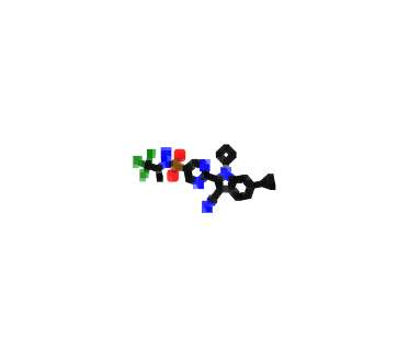 C[C@H](NS(=O)(=O)c1cnc(-c2c(C#N)c3ccc(C4CC4)cc3n2C2CCC2)nc1)C(F)(F)F